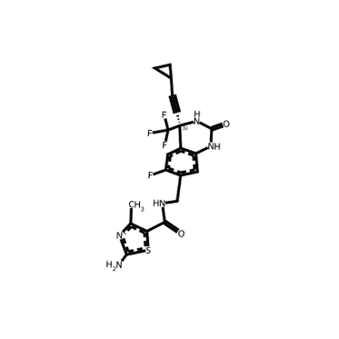 Cc1nc(N)sc1C(=O)NCc1cc2c(cc1F)[C@@](C#CC1CC1)(C(F)(F)F)NC(=O)N2